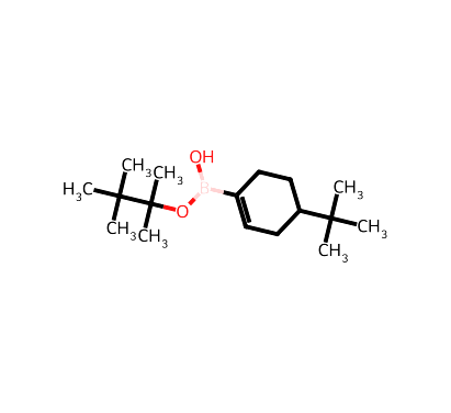 CC(C)(C)C1CC=C(B(O)OC(C)(C)C(C)(C)C)CC1